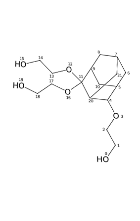 OCCOC1C2CC3CC(C2)C(OCCO)(OCCO)C1C3